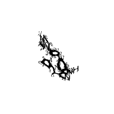 CC(=Cc1ccccc1)c1ccnc2[nH]c3ccc(-c4ccc(N5CCN(C)CC5)cc4)cc3c12